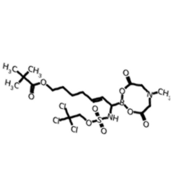 CN1CC(=O)OB(C(/C=C/CCCCOC(=O)C(C)(C)C)NS(=O)(=O)OCC(Cl)(Cl)Cl)OC(=O)C1